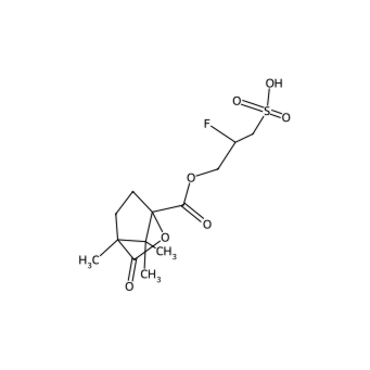 CC12CCC(C(=O)OCC(F)CS(=O)(=O)O)(OC1=O)C2(C)C